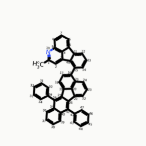 Cc1cc2c3c(cccc3n1)-c1cccc(-c3ccc4c5c(cccc35)-c3c-4c(-c4ccccc4)c4ccccc4c3-c3ccccc3)c1-2